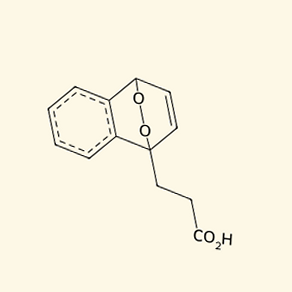 O=C(O)CCC12C=CC(OO1)c1ccccc12